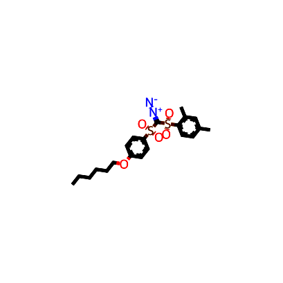 CCCCCCOc1ccc(S(=O)(=O)C(=[N+]=[N-])S(=O)(=O)c2ccc(C)cc2C)cc1